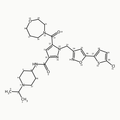 CC(C)N1CCC(NC(=O)c2cc(C(=O)N3CCCOCC3)n(Cc3cc(-c4ccc(Cl)s4)on3)n2)CC1